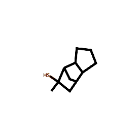 CC1(S)CC2CC1C1CCCC21